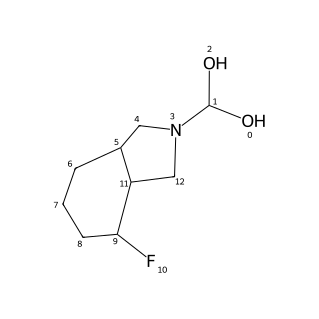 OC(O)N1CC2CCCC(F)C2C1